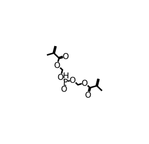 C=C(C)C(=O)OCO[PH](=O)OCOC(=O)C(=C)C